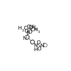 CC1(C)OB(c2cncc(-c3ccc(NC(=O)C(=O)N4CC5CCC4C5)cc3)c2)OC1(C)C